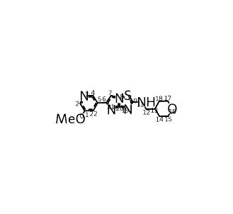 COc1cncc(-c2cn3sc(NCC4CCOCC4)nc3n2)c1